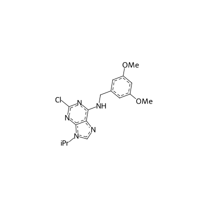 COc1cc(CNc2nc(Cl)nc3c2ncn3C(C)C)cc(OC)c1